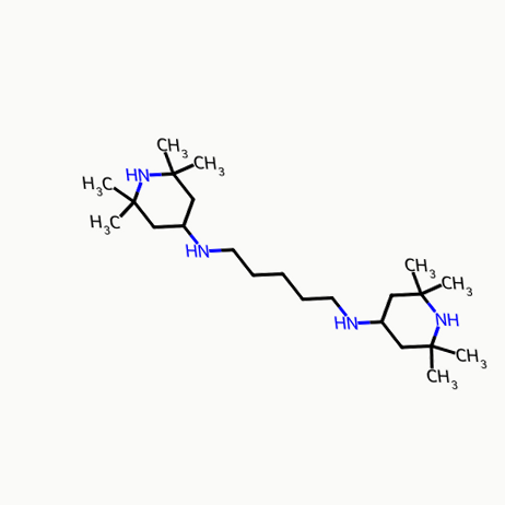 CC1(C)CC(NCCCCCNC2CC(C)(C)NC(C)(C)C2)CC(C)(C)N1